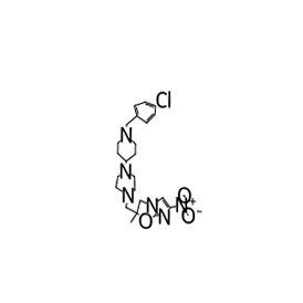 CC1(CN2CCN(C3CCN(Cc4ccc(Cl)cc4)CC3)CC2)Cn2cc([N+](=O)[O-])nc2O1